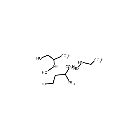 NC(CCO)C(=O)O.O=C(O)C(CO)NO.O=C(O)CNO